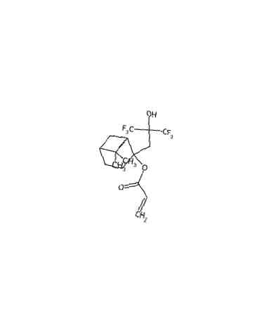 C=CC(=O)OC1(CC(O)(C(F)(F)F)C(F)(F)F)CCC2CC1C2(C)C